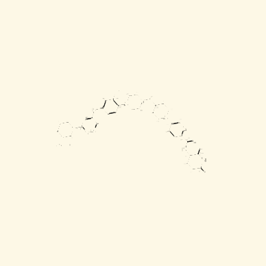 CC(=O)N[C@@H]1CCCN(c2nncc(Nc3ccc(N4CCN(CC5CCN(c6ccc(C(=O)NC7CCC(=O)NC7=O)nc6)CC5)CC4)c(F)c3)n2)C1